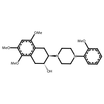 COc1ccccc1N1CCN([C@@H]2Cc3c(OC)cc(OC)c(OC)c3C[C@H]2O)CC1